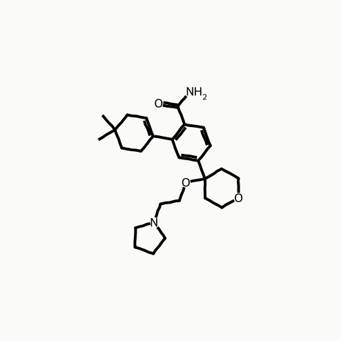 CC1(C)CC=C(c2cc(C3(OCCN4CCCC4)CCOCC3)ccc2C(N)=O)CC1